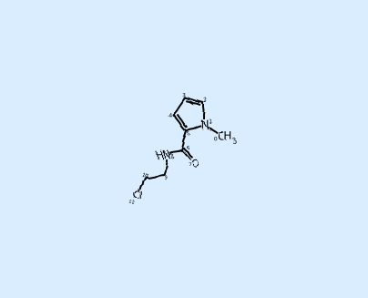 Cn1cccc1C(=O)NCCCl